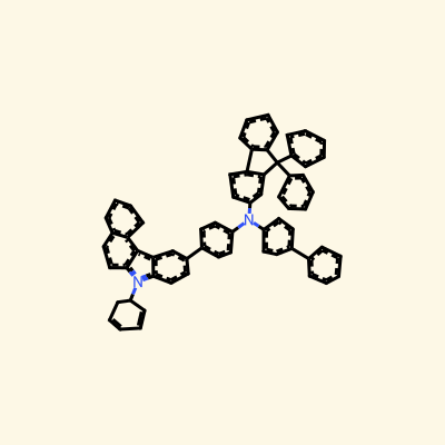 C1=CCC(n2c3ccc(-c4ccc(N(c5ccc(-c6ccccc6)cc5)c5ccc6c(c5)C(c5ccccc5)(c5ccccc5)c5ccccc5-6)cc4)cc3c3c4ccccc4ccc32)C=C1